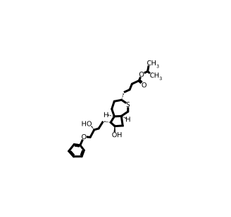 CC(C)OC(=O)CCC[C@H]1CC[C@H]2[C@@H](CS1)C[C@@H](O)[C@@H]2CC[C@@H](O)COc1ccccc1